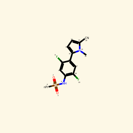 CCCS(=O)(=O)Nc1cc(F)c(-c2ccc(C#N)n2C)cc1F